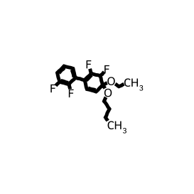 CCCCOC1(OCC)C=CC(c2cccc(F)c2F)=C(F)C1F